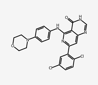 O=c1[nH]cnc2cc(-c3cc(Cl)ccc3Cl)nc(Nc3ccc(N4CCOCC4)cc3)c12